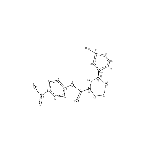 O=C(Oc1ccc([N+](=O)[O-])cc1)N1CCO[C@H](c2cccc(F)c2)C1